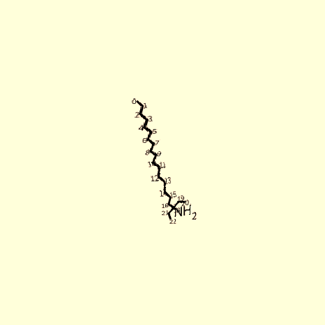 CCCCCCCCCCCCCCCCCC(N)(CC)CC